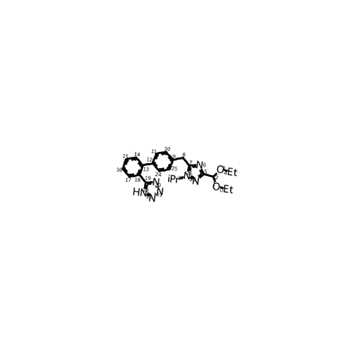 CCOC(OCC)c1nc(Cc2ccc(-c3ccccc3-c3nnn[nH]3)cc2)n(C(C)C)n1